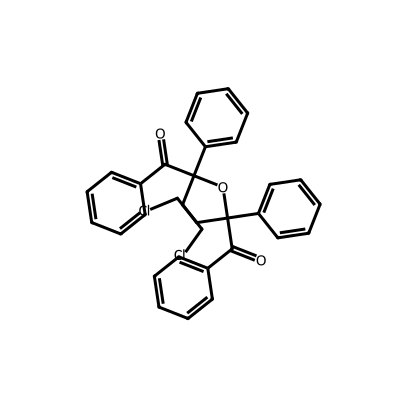 O=C(c1ccccc1)C(CCCl)(OC(CCCl)(C(=O)c1ccccc1)c1ccccc1)c1ccccc1